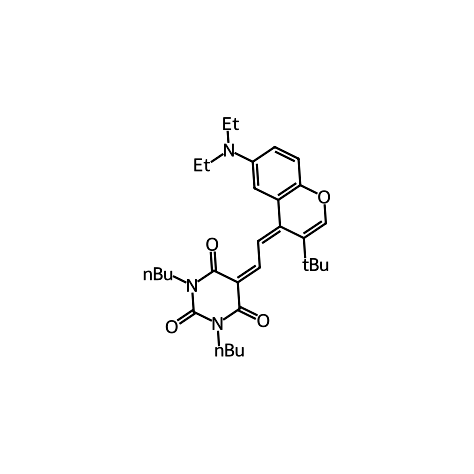 CCCCN1C(=O)C(=CC=C2C(C(C)(C)C)=COc3ccc(N(CC)CC)cc32)C(=O)N(CCCC)C1=O